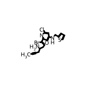 CC#CCC(N)Cc1oc2c(NCc3cccs3)cc(Cl)nc2c1Br